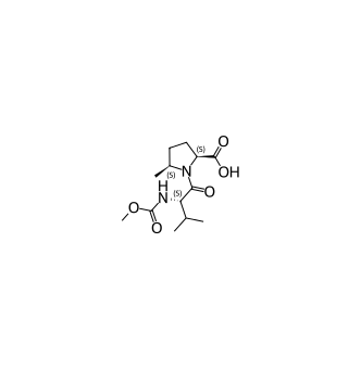 COC(=O)N[C@H](C(=O)N1[C@@H](C)CC[C@H]1C(=O)O)C(C)C